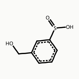 O=S(O)c1cccc(CO)c1